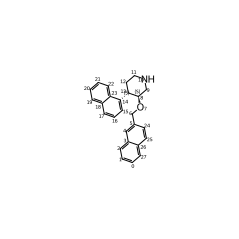 c1ccc2cc(CO[C@@H]3CNCC[C@H]3c3cccc4ccccc34)ccc2c1